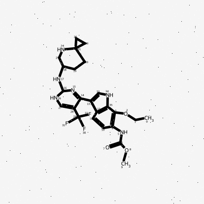 CCOc1c(NC(=O)OC)ccc2c(C3=NC(NC4CCC5(CC5)NC4)NC=C3C(F)(F)F)c[nH]c12